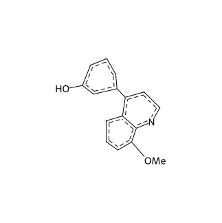 COc1cccc2c(-c3cccc(O)c3)ccnc12